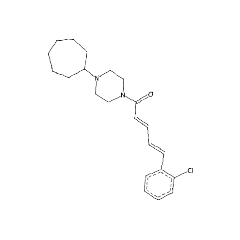 O=C(C=CC=Cc1ccccc1Cl)N1CCN(C2CCCCCC2)CC1